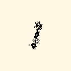 CC1(C)OCC(Cc2ccc(NC(=O)Nc3ccccc3)cc2)N1C(=O)O